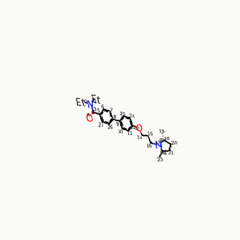 CCN(CC)C(=O)c1ccc(-c2ccc(OCCCN3[C@H](C)CC[C@H]3C)cc2)cc1